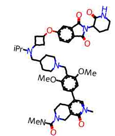 CNC(=O)N1CCc2c(-c3cc(OC)c(CN4CCC(CN(C(C)C)C5CC(Oc6ccc7c(c6)C(=O)N(C6CCCNC6=O)C7=O)C5)CC4)c(OC)c3)cn(C)c(=O)c2C1